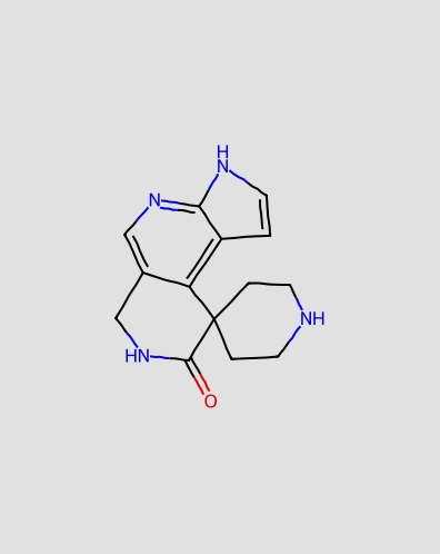 O=C1NCc2cnc3[nH]ccc3c2C12CCNCC2